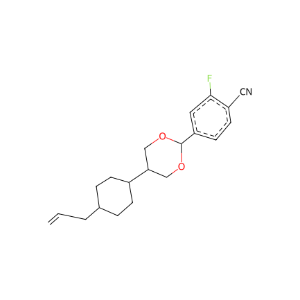 C=CCC1CCC(C2COC(c3ccc(C#N)c(F)c3)OC2)CC1